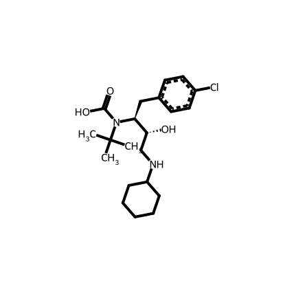 CC(C)(C)N(C(=O)O)[C@@H](Cc1ccc(Cl)cc1)[C@H](O)CNC1CCCCC1